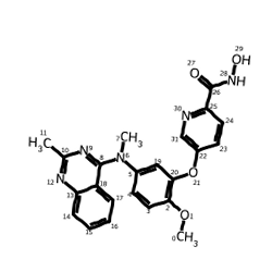 COc1ccc(N(C)c2nc(C)nc3ccccc23)cc1Oc1ccc(C(=O)NO)nc1